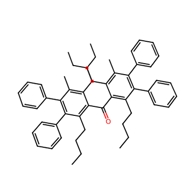 CCCCc1c(C)c(-c2ccccc2)c(-c2ccccc2)c(CCCC)c1C(=O)c1c(CCCC)c(C)c(-c2ccccc2)c(-c2ccccc2)c1CCCC